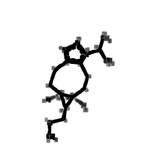 COC[C@@H]1[C@@H]2CCc3c(nnn3C(C)C)CC[C@@H]21